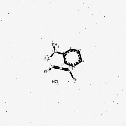 CCCN=C=NCC.CN(C)c1cccnc1.Cl